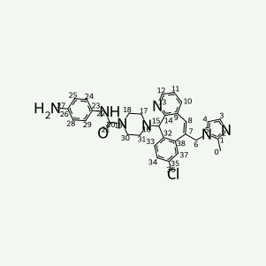 Cc1nccn1CC1=Cc2cccnc2C(N2CCN(C(=O)Nc3ccc(N)cc3)CC2)c2ccc(Cl)cc21